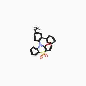 Cc1ccc(N2c3ccccc3S(=O)(=O)c3ccoc32)c(-c2ccccc2)c1